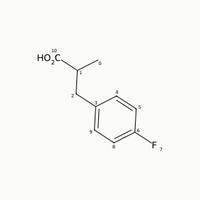 CC(Cc1ccc(F)cc1)C(=O)O